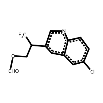 O=COCC(c1cnc2ccc(Cl)cc2c1)C(F)(F)F